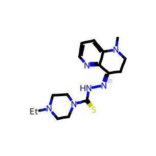 CCN1CCN(C(=S)N/N=C2/CCN(C)c3cccnc32)CC1